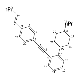 CCC/C=C/c1ccc(C#Cc2ccccc2C2CCC(CCC)CC2)cc1